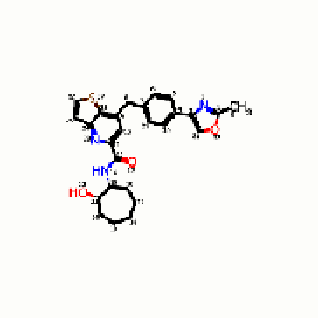 Cc1nc(-c2ccc(Cc3cc(C(=O)N[C@@H]4CCCCC[C@H]4O)nc4ccsc34)cc2)co1